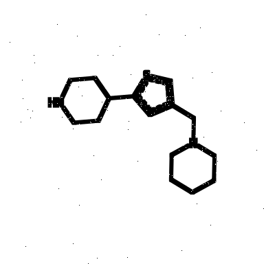 c1sc(C2CCNCC2)cc1CN1CCCCC1